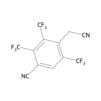 N#CCc1c(C(F)(F)F)cc(C#N)c(C(F)(F)F)c1C(F)(F)F